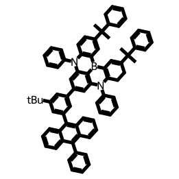 CC(C)(C)c1cc(-c2cc3c4c(c2)N(c2ccccc2)c2ccc(C(C)(C)C5C=CC=CC5)cc2B4C2=C(CCC(C(C)(C)c4ccccc4)=C2)N3c2ccccc2)cc(-c2c3ccccc3c(-c3ccccc3)c3ccccc23)c1